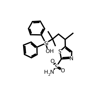 CC(CC(C)(C)[Si](O)(c1ccccc1)c1ccccc1)c1cnc(S(N)(=O)=O)s1